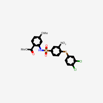 COC(=O)c1ccc(OC)cc1NS(=O)(=O)c1ccc(Sc2ccc(Cl)c(Cl)c2)c([N+](=O)[O-])c1